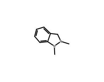 CN1Cc2ccccc2N1C